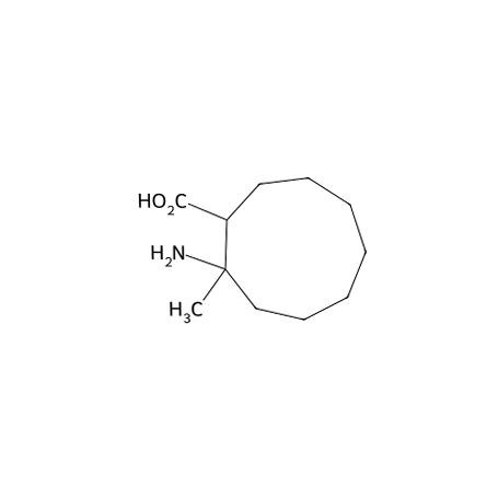 CC1(N)CCCCCCCC1C(=O)O